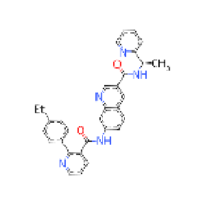 CCc1ccc(-c2ncccc2C(=O)Nc2ccc3cc(C(=O)N[C@H](C)c4ccccn4)cnc3c2)cc1